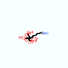 N=C=CC=CCCCC(CC(=O)O)(CC(=O)O)CC(=O)O